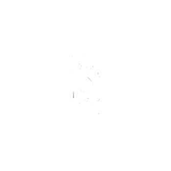 c1cc(Cc2ccccc2N2CCCC2)cc(N2CCCC2)c1